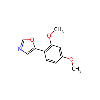 COc1ccc(-c2cn[c]o2)c(OC)c1